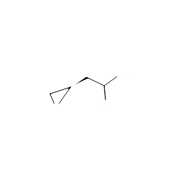 CC(C)C[C@@H]1CO1